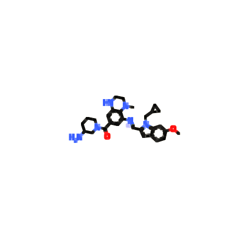 COc1ccc2cc(/C=N/c3cc(C(=O)N4CCCC(N)C4)cc4c3N(C)CCN4)n(CC3CC3)c2c1